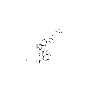 Cc1ccc(-c2ccnc3[nH]c(-c4n[nH]c5ccc(-c6cncc(CNCc7ccccc7)c6)cc45)nc23)s1